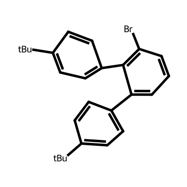 CC(C)(C)c1ccc(-c2cccc(Br)c2-c2ccc(C(C)(C)C)cc2)cc1